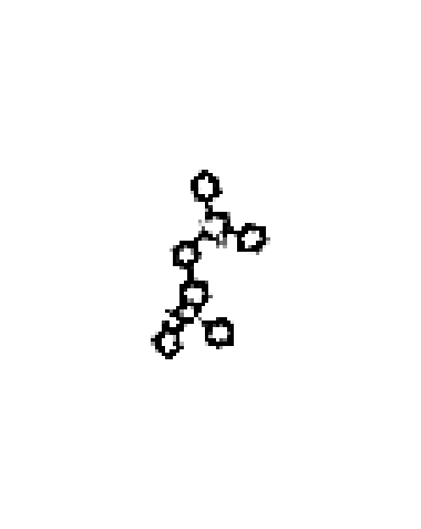 c1ccc(-c2cc(-c3ccccc3)nc(-c3cccc(-c4ccc5c(c4)c4sc6ccccc6c4n5-c4ccccc4)c3)n2)cc1